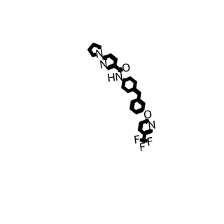 O=C(NC1CCC(=Cc2cccc(Oc3ccc(C(F)(F)F)cn3)c2)CC1)c1ccc(N2CCCC2)nc1